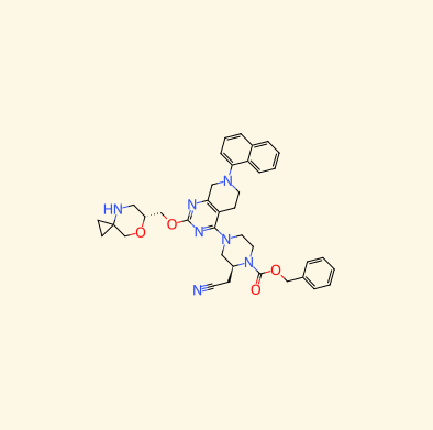 N#CC[C@H]1CN(c2nc(OC[C@H]3CNC4(CC4)CO3)nc3c2CCN(c2cccc4ccccc24)C3)CCN1C(=O)OCc1ccccc1